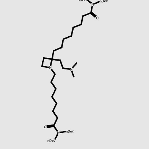 CCCCCCCCCCN(CCCCCCCCCC)C(=O)CCCCCCCN1CCC1(CCCCCCCC(=O)N(CCCCCCCCCC)CCCCCCCCCC)CCN(C)C